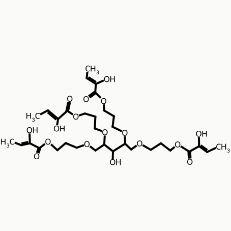 CC=C(O)C(=O)OCCCOCC(OCCCOC(=O)C(O)=CC)C(O)C(COCCCOC(=O)C(O)=CC)OCCCOC(=O)C(O)=CC